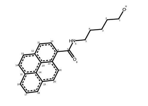 [O]CCCCCNC(=O)c1ccc2ccc3cccc4ccc1c2c34